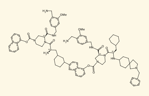 COc1cc(CNC(=O)[C@@H]2CN(C(=O)Oc3cccc4ccccc34)CCN2C(=O)[C@H](N)CC2CCCC(c3ccc4c(OC(=O)N5CCN(C(=O)[C@@H](CC6CCCCC6)NC6CCC7(CC6)CCN(Cc6ccccc6)C7)[C@H](C(=O)NCc6ccc(CN)c(OC)c6)C5)cccc4c3)C2)ccc1CN